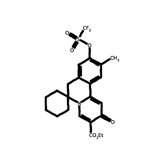 CCOC(=O)c1cn2c(cc1=O)-c1cc(C)c(OS(=O)(=O)C(F)(F)F)cc1CC21CCCCC1